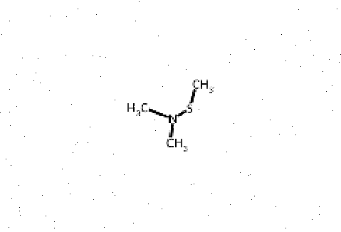 CSN(C)C